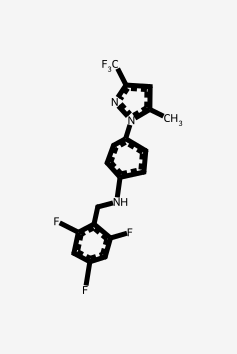 Cc1cc(C(F)(F)F)nn1-c1ccc(NCc2c(F)cc(F)cc2F)cc1